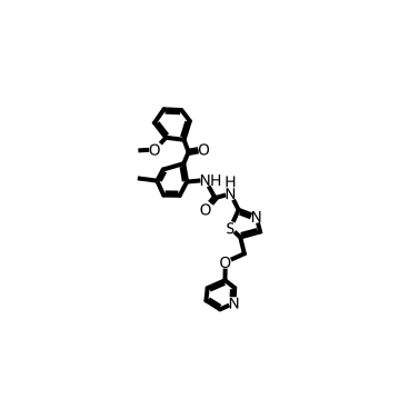 COc1ccccc1C(=O)c1cc(C)ccc1NC(=O)Nc1ncc(COc2cccnc2)s1